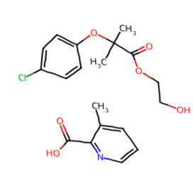 CC(C)(Oc1ccc(Cl)cc1)C(=O)OCCO.Cc1cccnc1C(=O)O